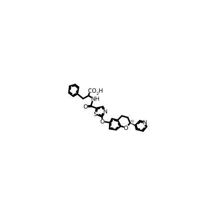 O=C(NC(Cc1ccccc1)C(=O)O)c1cnc(Oc2ccc3c(c2)CC[C@@H](c2cccnc2)O3)s1